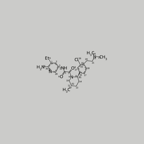 CCc1cc(NC(=O)C(=O)N2C[C@@H](C)CC[C@@H]2c2ccc(CCN(C)C)c(Cl)c2)cnc1N